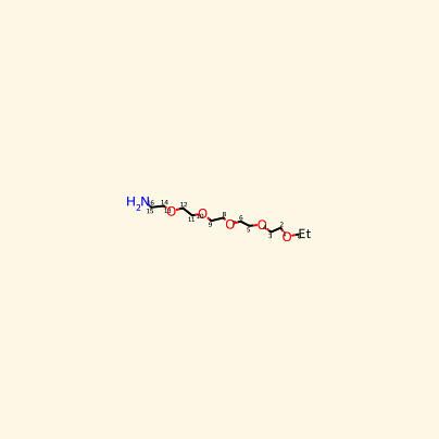 [CH2]COCCOCCOCCOCCOCCN